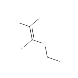 [CH2]COC(F)=C(F)F